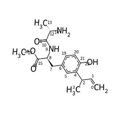 C=CC(C)c1cc(C[C@H](NC(=O)[C@H](C)N)C(=O)OC)ccc1O